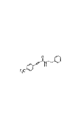 O=C(C#Cc1ccc(C(F)(F)F)cc1)NCCc1ccccc1